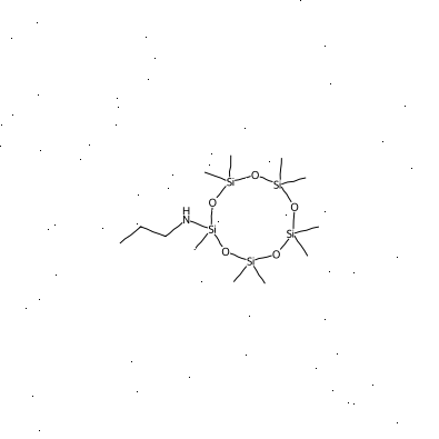 CCCN[Si]1(C)O[Si](C)(C)O[Si](C)(C)O[Si](C)(C)O[Si](C)(C)O1